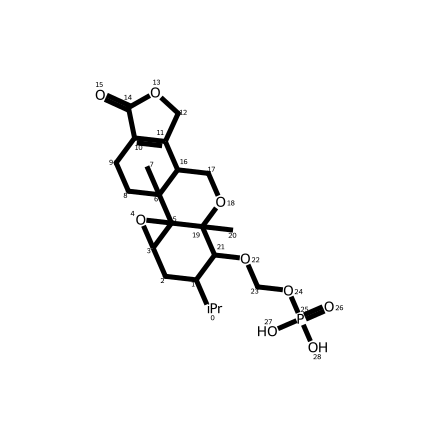 CC(C)C1CC2OC23C2(C)CCC4=C(COC4=O)C2COC3(C)C1OCOP(=O)(O)O